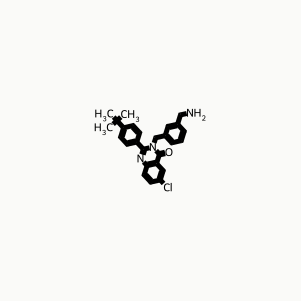 CC(C)(C)c1ccc(-c2nc3ccc(Cl)cc3c(=O)n2Cc2cccc(CN)c2)cc1